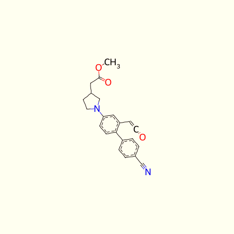 COC(=O)CC1CCN(c2ccc(-c3ccc(C#N)cc3)c(C=C=O)c2)C1